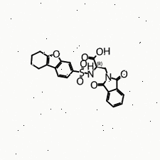 O=C(O)[C@@H](CN1C(=O)c2ccccc2C1=O)NS(=O)(=O)c1ccc2c3c(oc2c1)CCCC3